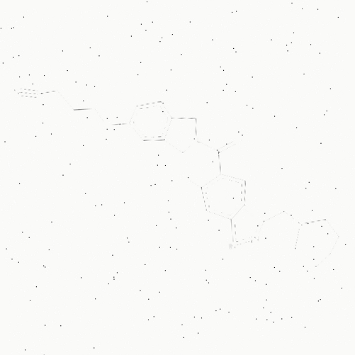 N#CCCCOc1ccc2c(c1)CN(C(=O)c1cc3c(CN4CCCCC4)n[nH]c3cc1O)C2